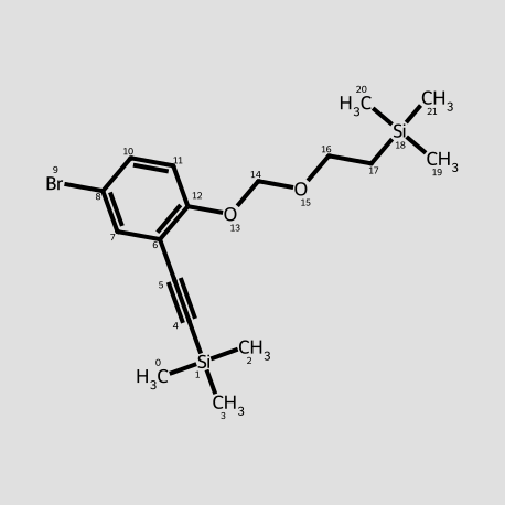 C[Si](C)(C)C#Cc1cc(Br)ccc1OCOCC[Si](C)(C)C